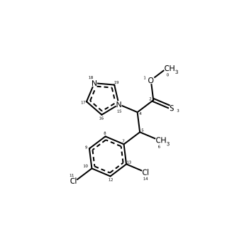 COC(=S)C(C(C)c1ccc(Cl)cc1Cl)n1ccnc1